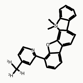 [2H]C([2H])([2H])c1ccnc(-c2cccc3c2oc2c4c(ccc23)-c2ccccc2[Si]4(C)C)c1